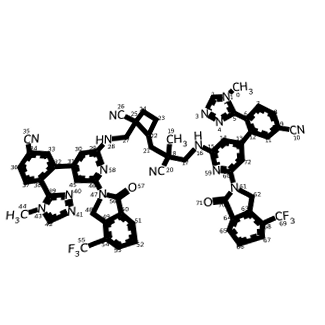 Cn1cnnc1-c1ccc(C#N)cc1-c1cc(NCC(C)(C#N)CC2CCC2(C#N)CNc2cc(-c3cc(C#N)ccc3-c3nncn3C)cc(N3Cc4c(cccc4C(F)(F)F)C3=O)n2)nc(N2Cc3c(cccc3C(F)(F)F)C2=O)c1